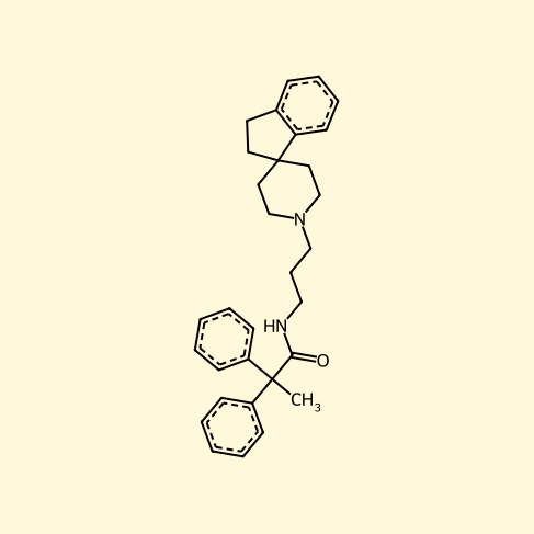 CC(C(=O)NCCCN1CCC2(CCc3ccccc32)CC1)(c1ccccc1)c1ccccc1